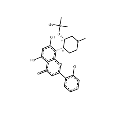 CN1CC[C@H](c2c(O)cc(O)c3c(=O)cc(-c4ccccc4Cl)oc23)[C@H](O[Si](C)(C)C(C)(C)C)C1